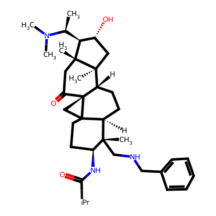 CC(C)C(=O)N[C@H]1CCC23C[C@]24C(=O)C[C@]2(C)[C@@H]([C@H](C)N(C)C)[C@H](O)C[C@@]2(C)[C@@H]4CC[C@H]3[C@]1(C)CNCc1ccccc1